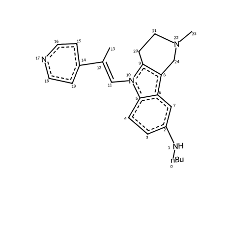 CCCCNc1ccc2c(c1)c1c(n2/C=C(\C)c2ccncc2)CCN(C)C1